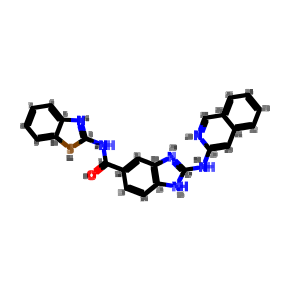 O=C(Nc1nc2ccccc2s1)c1ccc2[nH]c(Nc3cc4ccccc4cn3)nc2c1